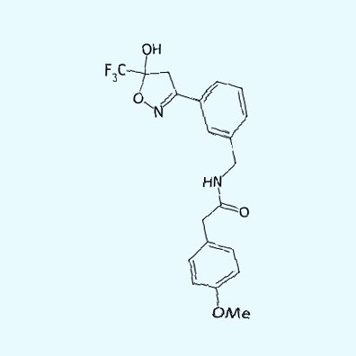 COc1ccc(CC(=O)NCc2cccc(C3=NOC(O)(C(F)(F)F)C3)c2)cc1